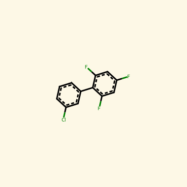 Fc1cc(F)c(-c2[c]ccc(Cl)c2)c(F)c1